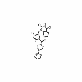 O=C(c1cc(Cn2c(=O)[nH]c(=O)c3ccccc32)c(Cl)cc1F)N1CCN(c2ncccn2)CC1